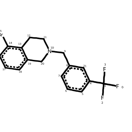 FC(F)(F)c1cccc(CN2CCc3c(Br)cccc3C2)c1